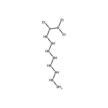 BBBBBBBBB(CC)B(CC)CC